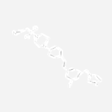 N#CCS(=O)(=O)N1CCN(c2ccc(C=Cc3cc(F)cc(Cn4ccnc4)c3)cc2)CC1